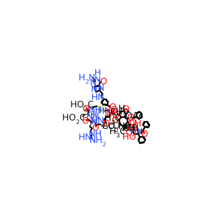 CC(=O)O[C@H]1C(=O)[C@@]2(C)C([C@H](OC(=O)c3ccccc3)[C@]3(O)C[C@H](OC(=O)[C@H](O)[C@@H](NC(=O)c4ccccc4)c4ccccc4)C(C)=C1C3(C)C)[C@]1(OC(C)=O)CO[C@@H]1C[C@@H]2OC(=O)OCCSSC[C@H](NC(=O)[C@H](CC(=O)O)NC(=O)[C@H](CCCNC(=N)N)NC(=O)[C@H](CC(=O)O)NC(=O)CC[C@@H](C)NC(=O)c1ccc(NCc2cnc3nc(N)[nH]c(=O)c3n2)cc1)C(=O)O